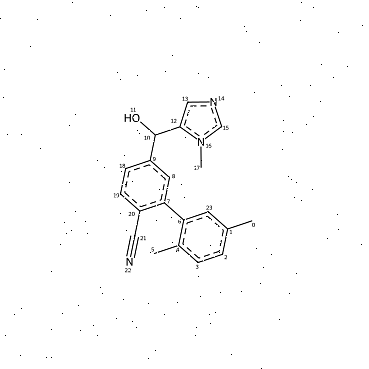 Cc1ccc(C)c(-c2cc(C(O)c3cncn3C)ccc2C#N)c1